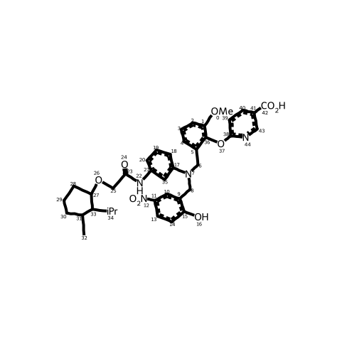 COc1cccc(CN(Cc2cc([N+](=O)[O-])ccc2O)c2cccc(NC(=O)COC3CCCC(C)C3C(C)C)c2)c1Oc1ccc(C(=O)O)cn1